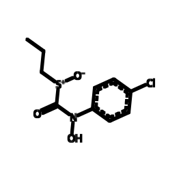 CCC[S+]([O-])C(=O)N(O)c1ccc(Cl)cc1